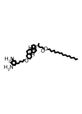 CCCCCCCCCCCCCCCCOC(=O)CCC(C)[C@H]1CC[C@H]2[C@@H]3CCC4CC(OCCCCc5cc(N)cc(N)c5)CC[C@]4(C)[C@H]3CC[C@]12C